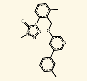 Cc1cccc(-c2cncc(OCc3c(C)cccc3-n3nnn(C)c3=O)c2)c1